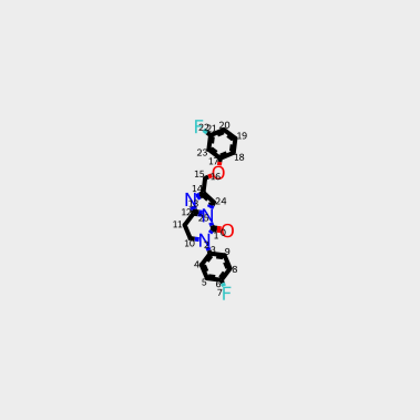 O=C1N(c2ccc(F)cc2)CCc2nc(COc3cccc(F)c3)cn21